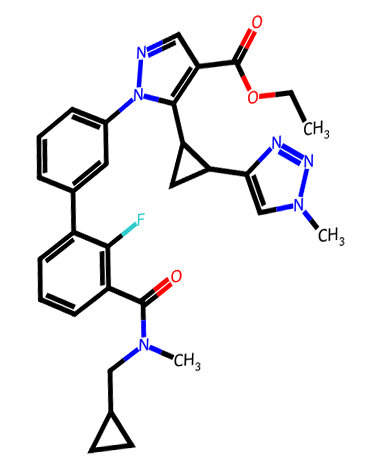 CCOC(=O)c1cnn(-c2cccc(-c3cccc(C(=O)N(C)CC4CC4)c3F)c2)c1C1CC1c1cn(C)nn1